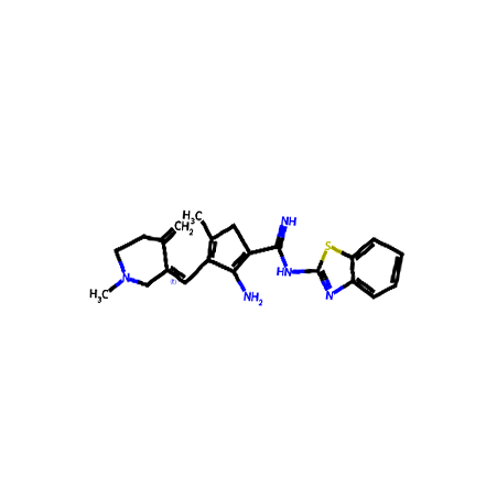 C=C1CCN(C)C/C1=C/C1=C(C)CC(C(=N)Nc2nc3ccccc3s2)=C1N